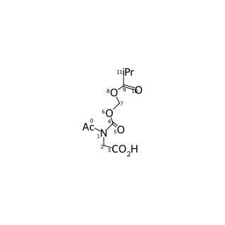 CC(=O)N(CC(=O)O)C(=O)OCOC(=O)C(C)C